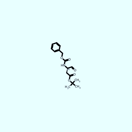 CC(C)(C)OC(=O)C[C@H](C=O)NC(=O)OCc1ccccc1